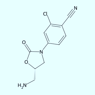 N#Cc1ccc(N2C[C@H](CN)OC2=O)cc1Cl